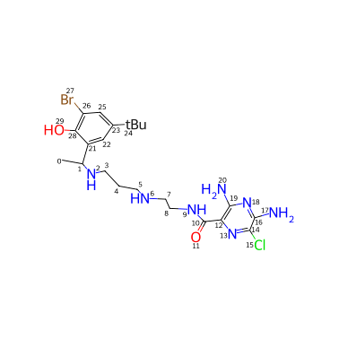 CC(NCCCNCCNC(=O)c1nc(Cl)c(N)nc1N)c1cc(C(C)(C)C)cc(Br)c1O